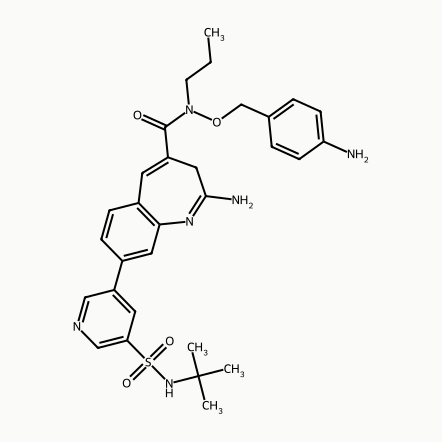 CCCN(OCc1ccc(N)cc1)C(=O)C1=Cc2ccc(-c3cncc(S(=O)(=O)NC(C)(C)C)c3)cc2N=C(N)C1